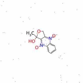 CC1(O)OCc2c1[n+]([O-])c1ccccc1[n+]2[O-]